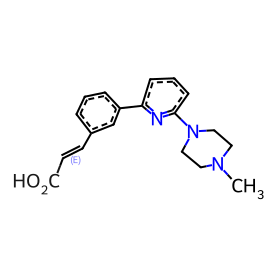 CN1CCN(c2cccc(-c3cccc(/C=C/C(=O)O)c3)n2)CC1